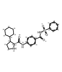 O=C(NS(=O)(=O)c1ccccc1)c1ccc(NC(=O)[C@H]2NCCC2C2CCCCC2)cc1